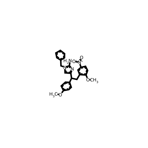 COc1ccc(C(Cc2cc([N+](=O)[O-])ccc2OC)c2cn(Cc3ccccc3)c(N)n2)cc1